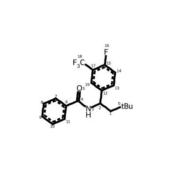 CC(C)(C)CC(NC(=O)c1ccccc1)c1ccc(F)c(C(F)(F)F)c1